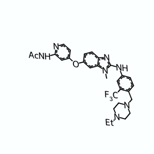 CCN1CCN(Cc2ccc(Nc3nc4ccc(Oc5ccnc(NC(C)=O)c5)cc4n3C)cc2C(F)(F)F)CC1